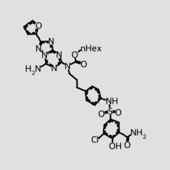 CCCCCCOC(=O)N(CCCc1ccc(NS(=O)(=O)c2cc(Cl)c(O)c(C(N)=O)c2)cc1)c1nc(N)n2nc(-c3ccco3)nc2n1